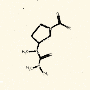 CCC(=O)N1CCC(N(C)C(=O)N(C)C)C1